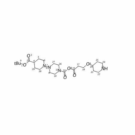 CC(C)(C)OC(=O)C1CCN(N2CCN(C(=O)OC(=O)CCOC3CCNCC3)CC2)CC1